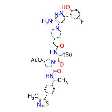 CC(=O)O[C@@H]1C[C@@H](C(=O)N[C@@H](C)c2ccc(-c3scnc3C)cc2)N(C(=O)[C@@H](NC(=O)CC2CCN(c3cc(-c4cc(F)ccc4O)nnc3N)CC2)C(C)(C)C)C1